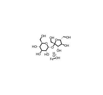 O.OC[C@H]1O[C@@](CO)(O[C@H]2O[C@H](CO)[C@@H](O)[C@H](O)[C@H]2O)[C@@H](O)[C@@H]1O.[OH][Fe]